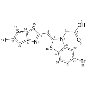 O=C(O)CN1/C(=C/c2nc3cc(I)sc3s2)Sc2ccc(Br)cc21